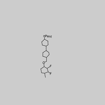 CCCCCC1CCC(C2CCC(COC3CCC(C)C(F)C3F)CC2)CC1